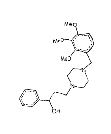 COc1ccc(CN2CCN(CCC(O)c3ccccc3)CC2)c(OC)c1OC